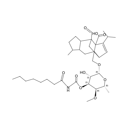 CCCCCCCC(=O)NC(=O)O[C@H]1[C@H](O)[C@H](OCC23CC4C(C)CCC4C4(C=O)CC2C=C(C(C)C)C43C(=O)O)O[C@H](C)[C@H]1OC